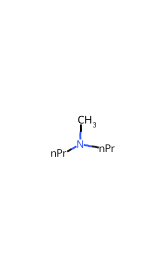 CCCN(C)CCC